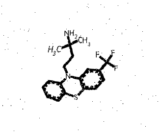 CC(C)(N)CCN1c2ccccc2Sc2ccc(C(F)(F)F)cc21